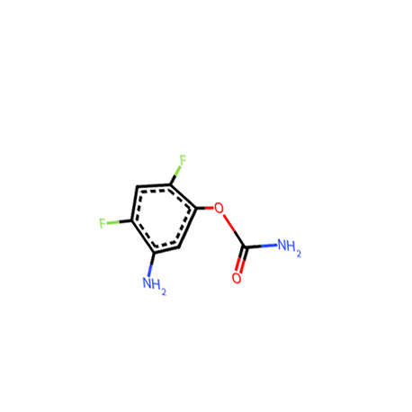 NC(=O)Oc1cc(N)c(F)cc1F